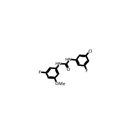 COc1cc(F)cc(NC(=O)Nc2cc(F)cc(Cl)c2)c1